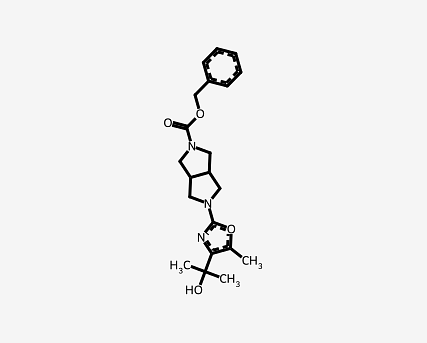 Cc1oc(N2CC3CN(C(=O)OCc4ccccc4)CC3C2)nc1C(C)(C)O